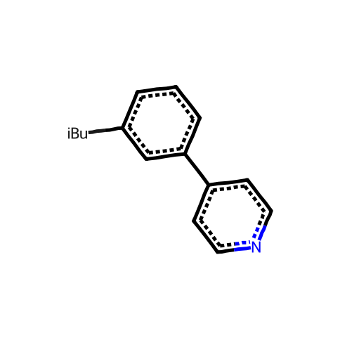 CCC(C)c1cccc(-c2ccncc2)c1